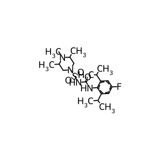 CC(C)c1cc(F)cc(C(C)C)c1NC(=O)NS(=O)(=O)N1CC(C)N(C)C(C)C1